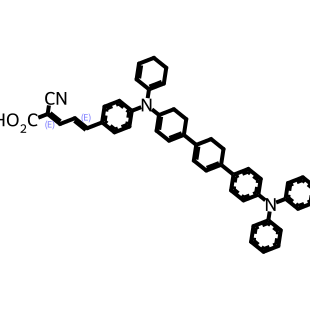 N#C/C(=C\C=C\c1ccc(N(C2=CCCC=C2)C2=CC=C(C3=CC=C(c4ccc(N(c5ccccc5)c5ccccc5)cc4)CC3)CC2)cc1)C(=O)O